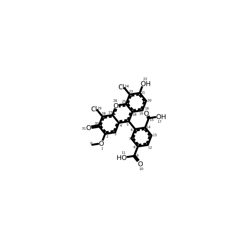 COc1cc2c(-c3cc(C(=O)O)ccc3C(=O)O)c3ccc(O)c(Cl)c3oc-2c(Cl)c1=O